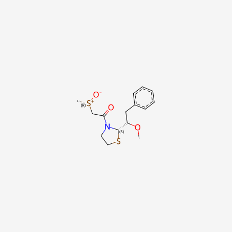 COC(Cc1ccccc1)[C@@H]1SCCN1C(=O)C[S@+](C)[O-]